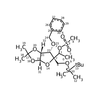 CC(OS(C)(=O)=O)[C@]1(CO[Si](C)(C)C(C)(C)C)O[C@@H]2OC(C)(C)O[C@@H]2[C@@H]1OCc1ccccc1